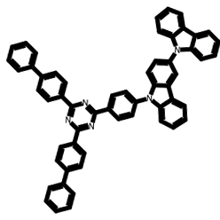 c1ccc(-c2ccc(-c3nc(-c4ccc(-c5ccccc5)cc4)nc(-c4ccc(-n5c6ccccc6c6cc(-n7c8ccccc8c8ccccc87)ccc65)cc4)n3)cc2)cc1